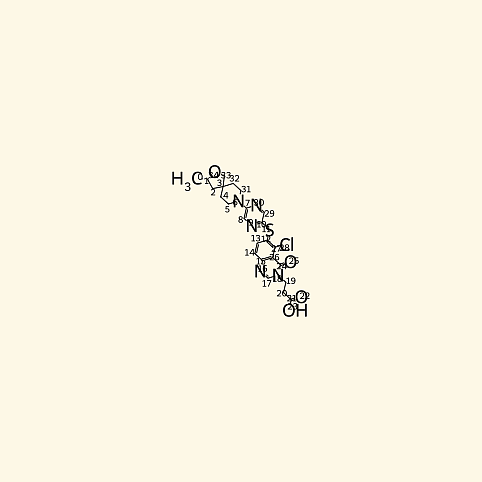 C[C@H]1CC2(CCN(c3cnc(Sc4ccc5ncn(CCC(=O)O)c(=O)c5c4Cl)cn3)CC2)CO1